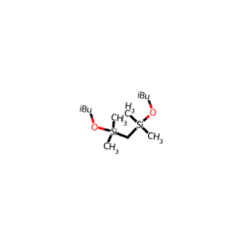 CCC(C)O[Si](C)(C)C[Si](C)(C)OC(C)CC